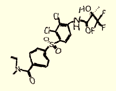 CCN(C)C(=O)c1ccc(S(=O)(=O)c2ccc(NC(=O)[C@@](C)(O)C(F)(F)F)c(Cl)c2Cl)cc1